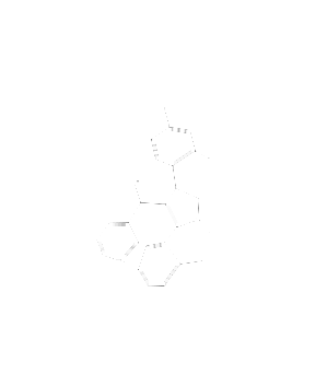 CN1CC(c2ccc(Cl)cc2F)C(C(O)c2cccnc2)=C1c1ccccc1F